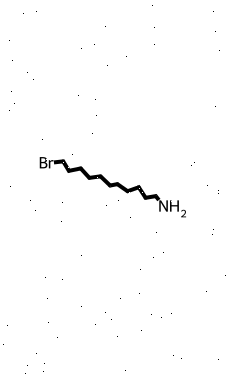 NCCCCCCCCCCCBr